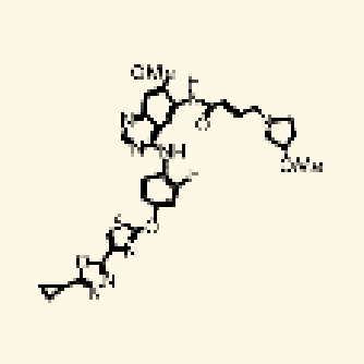 COc1cc2ncnc(Nc3ccc(Oc4nc(-c5nnc(C6CC6)o5)cs4)cc3F)c2cc1NC(=O)/C=C/CN1CC[C@@H](OC)C1